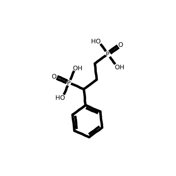 O=P(O)(O)CCC(c1ccccc1)P(=O)(O)O